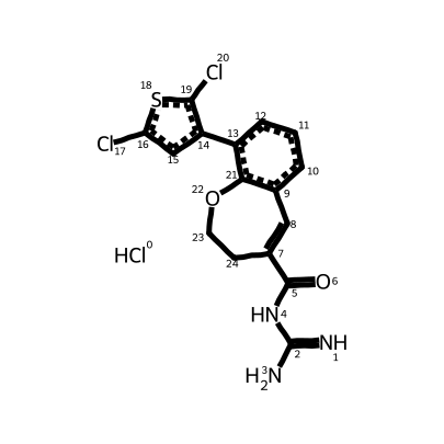 Cl.N=C(N)NC(=O)C1=Cc2cccc(-c3cc(Cl)sc3Cl)c2OCC1